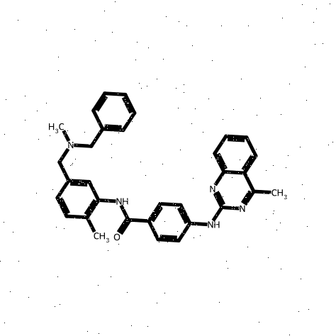 Cc1ccc(CN(C)Cc2ccccc2)cc1NC(=O)c1ccc(Nc2nc(C)c3ccccc3n2)cc1